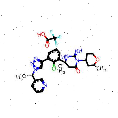 C[C@H]1C[C@@H](N2C(=N)N[C@](C)(c3cccc(-c4cn([C@@H](C)c5cccnc5)nn4)c3Cl)CC2=O)CCO1.O=C(O)C(F)(F)F